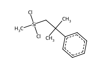 CC(C)(C[Si](C)(Cl)Cl)c1ccccc1